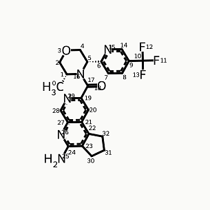 C[C@@H]1COC[C@H](c2ccc(C(F)(F)F)cn2)N1C(=O)c1cc2c3c(c(N)nc2cn1)CCC3